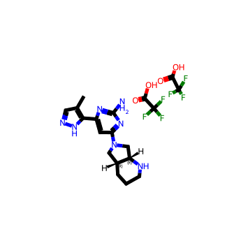 Cc1cn[nH]c1-c1cc(N2C[C@H]3CCCN[C@H]3C2)nc(N)n1.O=C(O)C(F)(F)F.O=C(O)C(F)(F)F